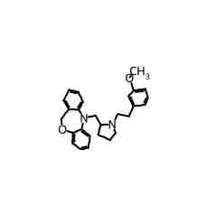 COc1cccc(CCN2CCCC2CN2c3ccccc3COc3ccccc32)c1